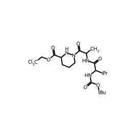 CC(NC(=O)C(NC(=O)OC(C)(C)C)C(C)C)C(=O)N1CCCC(C(=O)OCC(Cl)(Cl)Cl)N1